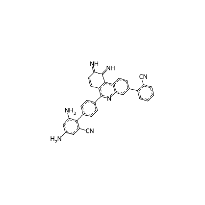 N#Cc1ccccc1-c1ccc2c3c(c(-c4ccc(-c5c(N)cc(N)cc5C#N)cc4)nc2c1)C=CC(=N)C3=N